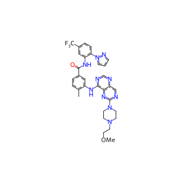 COCCN1CCN(c2ncc3ncnc(Nc4cc(C(=O)Nc5cc(C(F)(F)F)ccc5-n5cccn5)ccc4C)c3n2)CC1